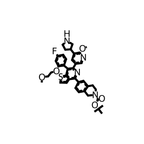 COCCOc1cc(F)ccc1-c1c(-c2cnc(OC)c(C3CCNC3)c2)nc(-c2ccc3c(c2)CCN(C(=O)OC(C)(C)C)C3)c2ccsc12